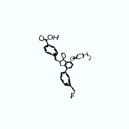 COc1ccc(-c2cccc(CF)c2)c2c1C(=O)C(Cc1ccc(C(=O)O)cc1)C2